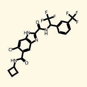 O=C(NC(c1cccc(C(F)(F)F)c1)C(F)(F)F)c1nc2cc(C(=O)NC3CCC3)c(Cl)cc2[nH]1